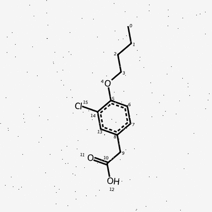 CCCCOc1ccc(CC(=O)O)cc1Cl